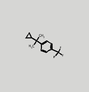 CC(C)(c1ccc(C(F)(F)F)cc1)C1CC1